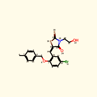 Cc1ccc(COc2ccc(Br)cc2C=C2SC(=S)N(CCO)C2=O)cc1